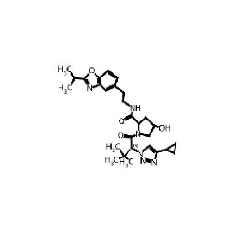 CC(C)c1nc2cc(CCNC(=O)C3CC(O)CN3C(=O)[C@@H](n3cc(C4CC4)nn3)C(C)(C)C)ccc2o1